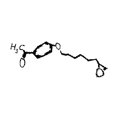 CC(=O)c1ccc(OCCCCCCC2CO2)cc1